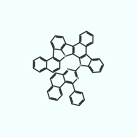 c1ccc(-c2nc(-n3c4ccccc4c4c5ccccc5c5c6cccc7c8c9ccccc9ccc8n(c76)c5c43)nc3ccc4ccccc4c23)cc1